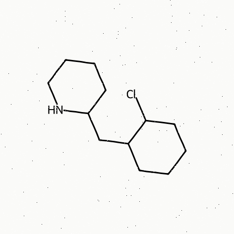 ClC1CCCCC1CC1CCCCN1